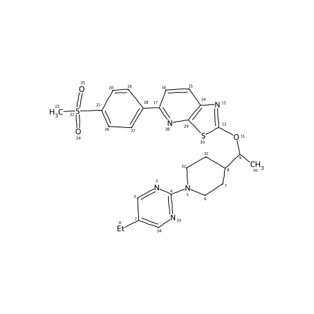 CCc1cnc(N2CCC(C(C)Oc3nc4ccc(-c5ccc(S(C)(=O)=O)cc5)nc4s3)CC2)nc1